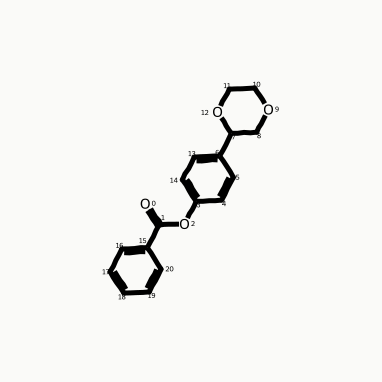 O=C(Oc1ccc(C2COCCO2)cc1)c1ccccc1